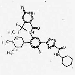 C[C@@H]1CN(c2cc(F)c(-c3csc(C(=O)NC4CCCCC4)n3)cc2NC(=O)c2c[nH]c(=O)cc2C(F)(F)F)C[C@H](C)N1C